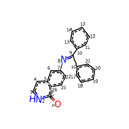 O=c1[nH]ccc2cc(N=C(c3ccccc3)c3ccccc3)ccc12